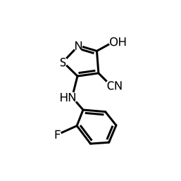 N#Cc1c(O)nsc1Nc1ccccc1F